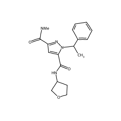 CNC(=O)c1cc(C(=O)NC2CCOC2)n(C(C)c2ccccc2)n1